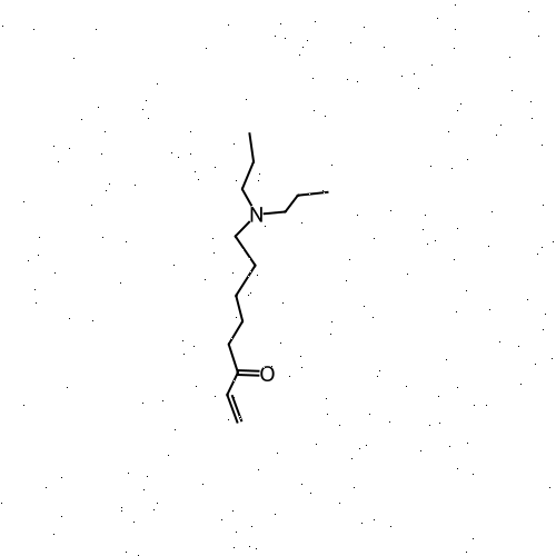 C=CC(=O)CCCCCN(CCC)CCC